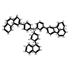 c1cc(-c2ccc3c(c2)-c2cccc4cccc-3c24)cc(N(c2ccc(-c3ccc4ccc5ccccc5c4c3)cc2)c2ccc(-c3cccc4ccccc34)cc2)c1